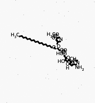 CCCCCCCCCCCCCCCCCCOC[C@H](COP(=O)(O)OCC1=C(O)[C@@H](O)[C@](C)(c2ccc3c(N)ncnn23)O1)OCc1cncc(S(C)(=O)=O)c1